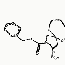 O=C(O)[C@@H]1CC2(CN1C(=O)OCc1ccccc1)OCCCCO2